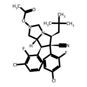 CC(=O)ON1C[C@H]2[C@H](c3cccc(Cl)c3F)[C@@](C#N)(c3ccc(Cl)cc3F)[C@H](CC(C)(C)C)N2C1